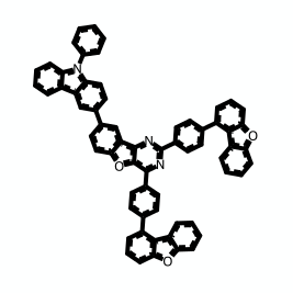 c1ccc(-n2c3ccccc3c3cc(-c4ccc5oc6c(-c7ccc(-c8cccc9oc%10ccccc%10c89)cc7)nc(-c7ccc(-c8cccc9oc%10ccccc%10c89)cc7)nc6c5c4)ccc32)cc1